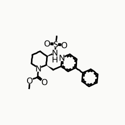 COC(=O)N1CCC[C@@H](NS(C)(=O)=O)[C@H]1Cc1cc(-c2ccccc2)ccn1